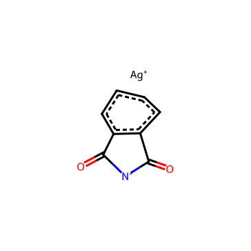 O=C1[N-]C(=O)c2ccccc21.[Ag+]